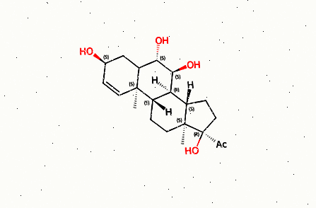 CC(=O)[C@@]1(O)CC[C@H]2[C@@H]3[C@H](O)[C@@H](O)C4C[C@H](O)C=C[C@]4(C)[C@H]3CC[C@@]21C